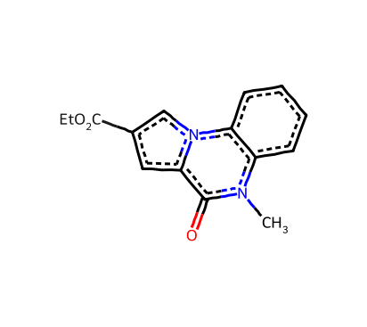 CCOC(=O)c1cc2c(=O)n(C)c3ccccc3n2c1